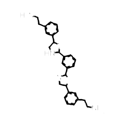 NCCc1cccc(C2CNC(c3cccc(C4NCC(c5cccc(CCN)c5)S4)c3)S2)c1